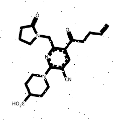 C=CCCC(=O)c1cc(C#N)c(N2CCC(C(=O)O)CC2)nc1CN1CCCC1=O